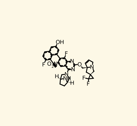 C#Cc1c(F)ccc2cc(O)cc(-c3c([N+](=O)[O-])cc4c(N5C[C@H]6CC[C@@H](C5)N6)nc(OC[C@@]56C=CCN5C[C@]5(CC5(F)F)C6)nc4c3F)c12